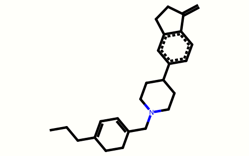 C=C1CCc2cc(C3CCN(CC4=CC=C(CCC)CC4)CC3)ccc21